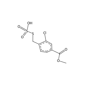 COC(=O)c1ccc(CSS(=O)(=O)O)c(Cl)c1